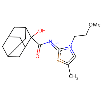 COCCn1cc(C)s/c1=N\C(=O)C1(O)C2CC3CC(C2)CC1C3